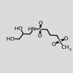 CS(=O)(=O)CCCS(=O)(=O)NCC(O)CO